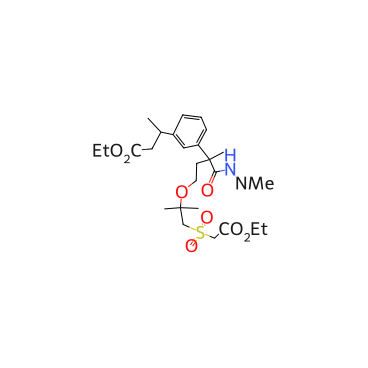 CCOC(=O)CC(C)c1cccc(C(C)(CCOC(C)(C)CS(=O)(=O)CC(=O)OCC)C(=O)NNC)c1